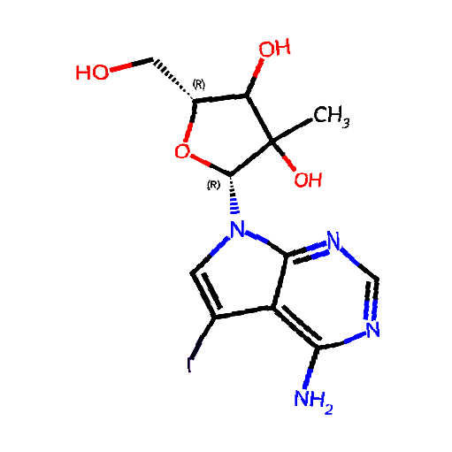 CC1(O)C(O)[C@@H](CO)O[C@H]1n1cc(I)c2c(N)ncnc21